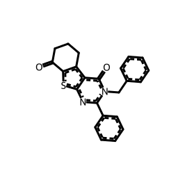 O=C1CCCc2c1sc1nc(-c3ccccc3)n(Cc3ccccc3)c(=O)c21